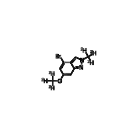 [2H]C([2H])([2H])Oc1cc(Br)c2cn(C([2H])([2H])[2H])nc2c1